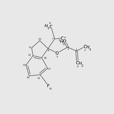 C=C(C)C(=O)OC1(C(C)C)CCc2ccc(F)cc21